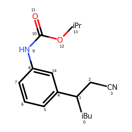 CCC(C)C(CC#N)c1cccc(NC(=O)OC(C)C)c1